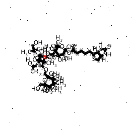 CC(=O)NC(C)(C(C)(CO)COCC1(C)OC(C)(CO)C(C)(O)C(C)(O)C1(C)O)C(C)(COCC1(C)C(C)(C)OC(C)(OC(=O)CCCCC2SC[C@@H]3NC(=O)N[C@H]23)[C@H](O)C1(C)O)OC(C)(C)CO